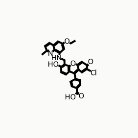 CCOc1cc(NCc2c(O)ccc3c(-c4ccc(C(=O)O)cc4)c4cc(Cl)c(=O)cc-4oc23)c2nc(C)ccc2c1